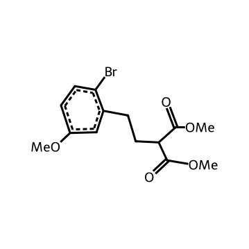 COC(=O)C(CCc1cc(OC)ccc1Br)C(=O)OC